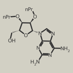 CCCO[C@@H]1[C@H](OCCC)[C@@H](CO)O[C@H]1n1cnc2c(N)nc(N)nc21